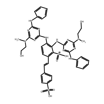 CN(CCO)c1nc(Nc2ccccc2)nc(Nc2ccc(C=Cc3ccc(S(=O)(=O)O)cc3)c(S(=O)(=O)O)c2Nc2nc(Nc3ccccc3)nc(N(C)CCO)n2)n1